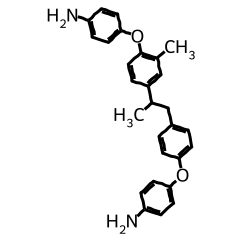 Cc1cc(C(C)Cc2ccc(Oc3ccc(N)cc3)cc2)ccc1Oc1ccc(N)cc1